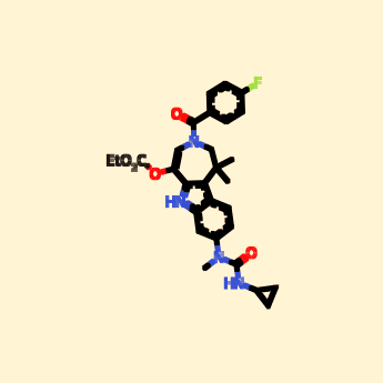 CCOC(=O)OC1=CN(C(=O)c2ccc(F)cc2)CC(C)(C)c2c1[nH]c1cc(N(C)C(=O)NC3CC3)ccc21